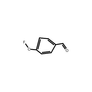 O=Cc1ccc(OF)cc1